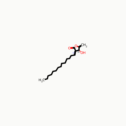 C=C1OC(=O)/C(=C\CCCCCCCCCCCCC)[C@@H]1O